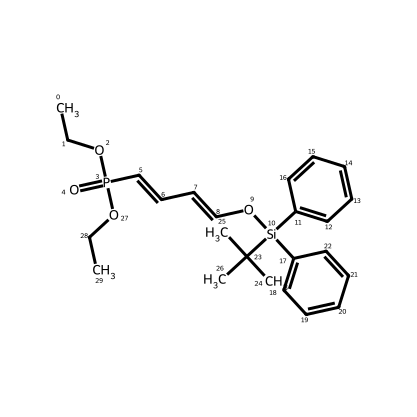 CCOP(=O)(/C=C/C=CO[Si](c1ccccc1)(c1ccccc1)C(C)(C)C)OCC